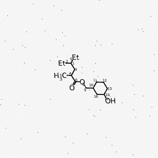 CCC(CC)CC(C)C(=O)OCC1CCCC(O)C1